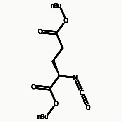 CCCCOC(=O)CC[C@@H](N=C=O)C(=O)OCCCC